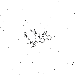 CCCN(CCCN=O)C(=O)C1=CC2=CC=C(c3ccccc3C(=O)OCC)CC2NC(N=NN)C1